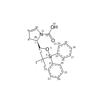 CC(C)(C)[Si](OC[C@H]1CC=CN1C(=O)O)(c1ccccc1)c1ccccc1